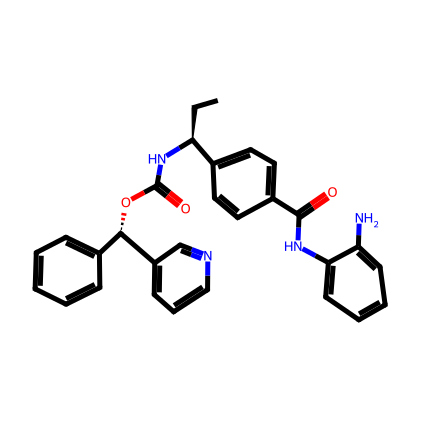 CC[C@H](NC(=O)O[C@@H](c1ccccc1)c1cccnc1)c1ccc(C(=O)Nc2ccccc2N)cc1